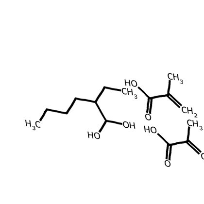 C=C(C)C(=O)O.C=C(C)C(=O)O.CCCCC(CC)C(O)O